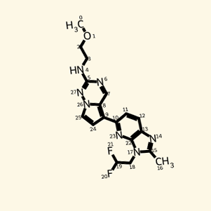 COCCNc1ncc2c(-c3ccc4nc(C)n(CC(F)F)c4n3)ccn2n1